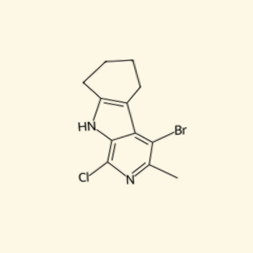 Cc1nc(Cl)c2[nH]c3c(c2c1Br)CCCC3